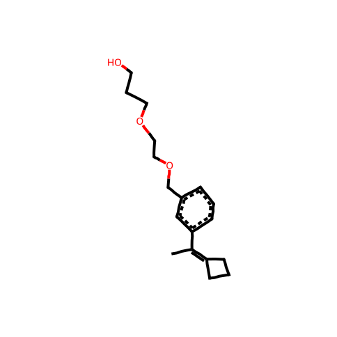 CC(=C1CCC1)c1cccc(COCCOCCCO)c1